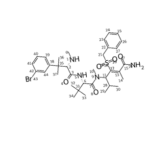 CN[C@H](C(=O)N[C@H](C(=O)N(C)C(C(=C(C)C(N)=O)S(=O)(=O)Cc1ccccc1)C(C)C)C(C)(C)C)C(C)(C)c1cccc(Br)c1